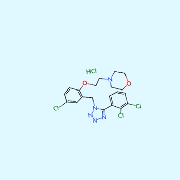 Cl.Clc1ccc(OCCN2CCOCC2)c(Cn2nnnc2-c2cccc(Cl)c2Cl)c1